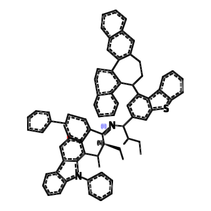 CCC(C)C(/N=C(/c1ccc(-c2ccccc2)cc1)[C@@H](CC)C(C)c1cccc2c3ccccc3n(-c3ccccc3)c12)c1cc(C2CCc3cc4ccccc4cc3-c3ccc4ccccc4c32)c2c(c1)sc1ccccc12